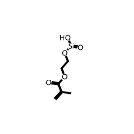 C=C(C)C(=O)OCCO[Si](=O)O